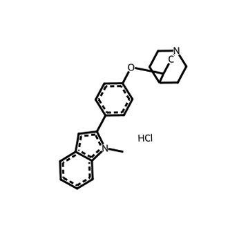 Cl.Cn1c(-c2ccc(OC3CN4CCC3CC4)cc2)cc2ccccc21